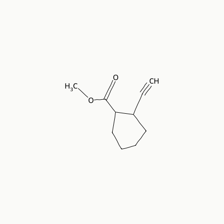 C#CC1CCCCC1C(=O)OC